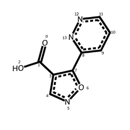 O=C(O)c1cnoc1-c1cccnn1